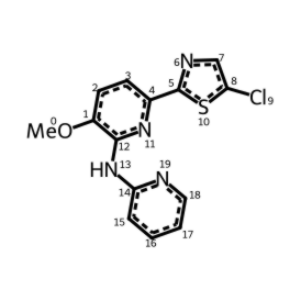 COc1ccc(-c2ncc(Cl)s2)nc1Nc1ccccn1